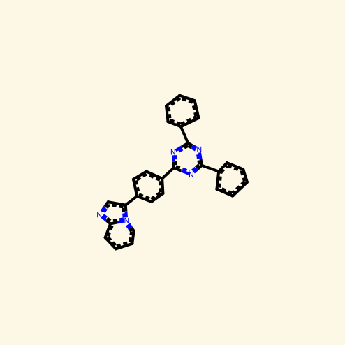 c1ccc(-c2nc(-c3ccccc3)nc(-c3ccc(-c4cnc5ccccn45)cc3)n2)cc1